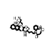 NCC(O)CNC(=O)[C@@H](Cc1ccc2ccccc2c1)NC(=O)CCCN1C(=O)CCS(=O)(=O)c2ccccc21